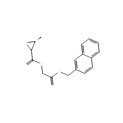 CCC[C@H](NC(=O)C1O[C@H]1C(=O)OCC)C(=O)NCc1ccc2ccccc2c1